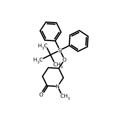 CN1CC(O[Si](c2ccccc2)(c2ccccc2)C(C)(C)C)CCC1=O